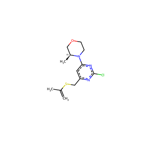 C=C(C)SCc1cc(N2CCOC[C@@H]2C)nc(Cl)n1